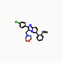 COc1ccccc1-c1ccc2nc(-c3ccc(Cl)cc3)c(CN3CCOCC3)n2c1